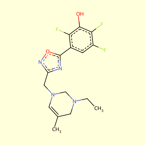 CCN1CC(C)=CN(Cc2noc(-c3cc(F)c(F)c(O)c3F)n2)C1